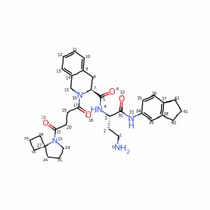 NCC[C@H](NC(=O)[C@@H]1Cc2ccccc2CN1C(=O)CCC(=O)N1CCCC12CCC2)C(=O)Nc1ccc2c(c1)CCC2